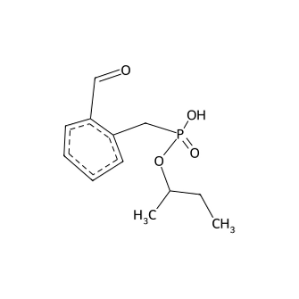 CCC(C)OP(=O)(O)Cc1ccccc1C=O